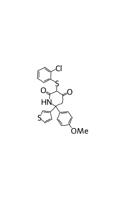 COc1ccc(C2(c3ccsc3)CC(=O)C(Sc3ccccc3Cl)C(=O)N2)cc1